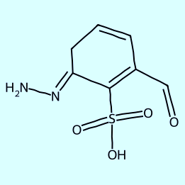 NN=C1CC=CC(C=O)=C1S(=O)(=O)O